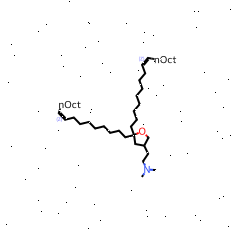 CCCCCCCC/C=C\CCCCCCCCC1(CCCCCCCC/C=C\CCCCCCCC)CC(CCN(C)C)CO1